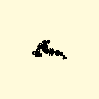 CC(C)CCOc1ccc(-c2cnc(-c3ccc(C[C@H](NC(=O)c4ccc(C(C)(C)C)s4)C(=O)N4CC(C(=O)O)C4)cc3)nc2)cc1